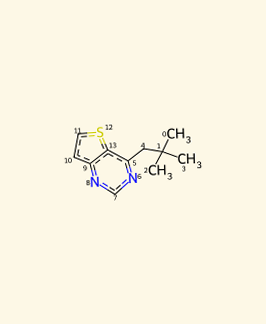 CC(C)(C)Cc1ncnc2ccsc12